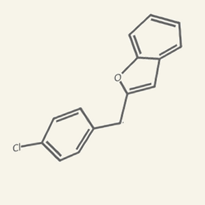 Clc1ccc([CH]c2cc3ccccc3o2)cc1